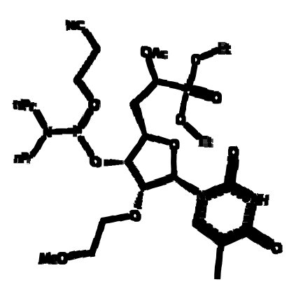 CCCN(CCC)P(OCCC#N)O[C@H]1[C@@H](OCCOC)[C@H](n2cc(C)c(=O)[nH]c2=O)O[C@@H]1CC(OC(C)=O)P(=O)(OCC)OCC